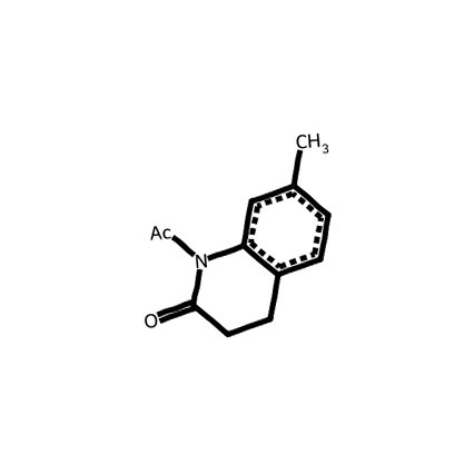 CC(=O)N1C(=O)CCc2ccc(C)cc21